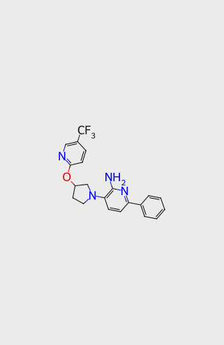 Nc1nc(-c2ccccc2)ccc1N1CCC(Oc2ccc(C(F)(F)F)cn2)C1